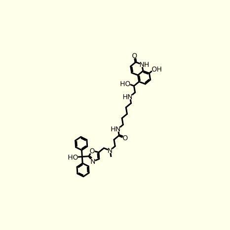 CN(CCC(=O)NCCCCCNCC(O)c1ccc(O)c2[nH]c(=O)ccc12)Cc1cnc(C(O)(c2ccccc2)c2ccccc2)o1